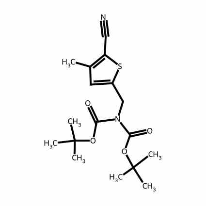 Cc1cc(CN(C(=O)OC(C)(C)C)C(=O)OC(C)(C)C)sc1C#N